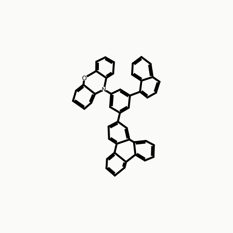 c1ccc2c(c1)Oc1ccccc1N2c1cc(-c2ccc3c4ccccc4c4ccccc4c3c2)cc(-c2cccc3ccccc23)c1